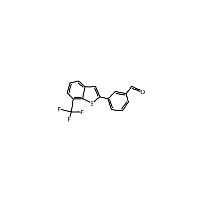 O=Cc1cccc(-c2cc3cccc(C(F)(F)F)c3s2)c1